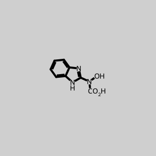 O=C(O)N(O)c1nc2ccccc2[nH]1